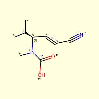 CC(C)[C@@H](/C=C/C#N)N(C)C(=O)O